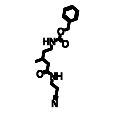 CC(CCNC(=O)OCc1ccccc1)CC(=O)NCCC#N